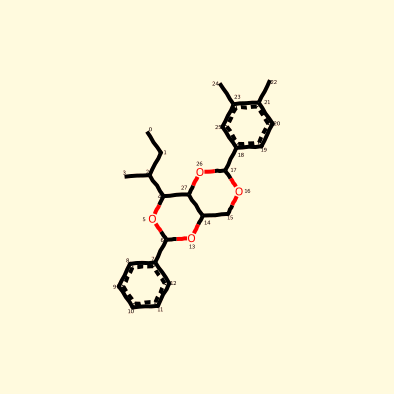 CCC(C)C1OC(c2ccccc2)OC2COC(c3ccc(C)c(C)c3)OC21